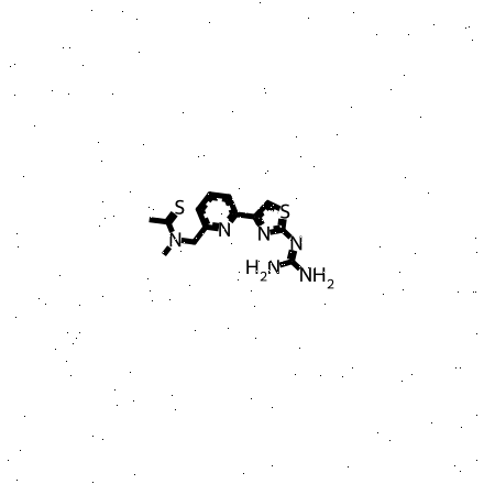 CC(=S)N(C)Cc1cccc(-c2csc(N=C(N)N)n2)n1